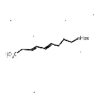 CCCCCCCCCC=CC=CCC(=O)O